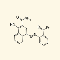 CCC(=O)c1ccccc1N=Nc1cc(C(N)=O)c(O)c2ccccc12